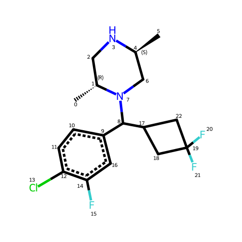 C[C@@H]1CN[C@@H](C)CN1C(c1ccc(Cl)c(F)c1)C1CC(F)(F)C1